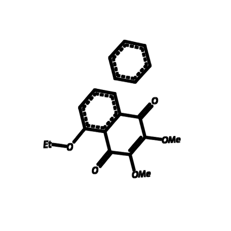 CCOc1cccc2c1C(=O)C(OC)=C(OC)C2=O.c1ccccc1